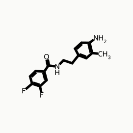 Cc1cc(CCNC(=O)c2ccc(F)c(F)c2)ccc1N